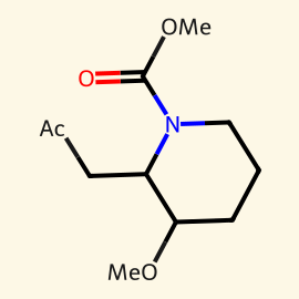 COC(=O)N1CCCC(OC)C1CC(C)=O